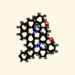 c1ccc(-c2cc(N(c3ccccc3-c3ccccc3)c3cccc4oc5ccccc5c34)c3cc(N(c4ccccc4-c4ccccc4)c4cccc5oc6ccccc6c45)c(-c4ccccc4)cc3c2)cc1